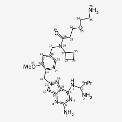 CCCC(N)Nc1nc(N)nc2cn(Cc3ccc(CN(C(=O)CCOCCN)C4CCC4)cc3OC)nc12